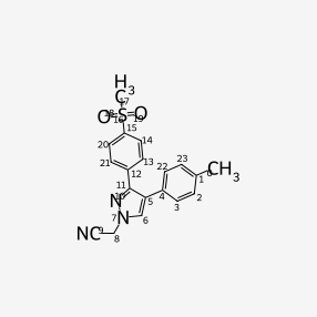 Cc1ccc(-c2cn(CC#N)nc2-c2ccc(S(C)(=O)=O)cc2)cc1